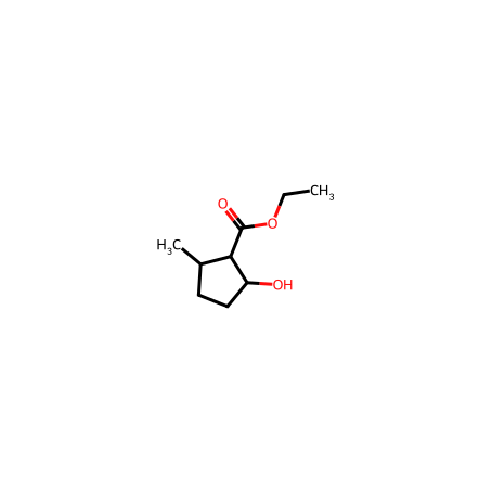 CCOC(=O)C1C(C)CCC1O